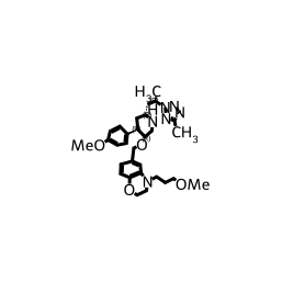 COCCCN1CCOc2ccc(CO[C@H]3CN[C@@H](C[C@@H](C)n4nnc(C)n4)C[C@@H]3c3ccc(OC)cc3)cc21